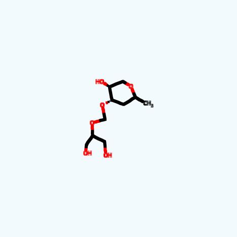 CC1C[C@H](OCOC(CO)CO)[C@@H](O)CO1